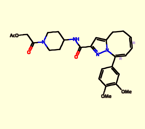 COc1ccc(/C2=C/C=C\CCc3cc(C(=O)NC4CCN(C(=O)COC(C)=O)CC4)nn32)cc1OC